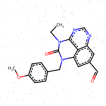 CCN1C(=O)N(Cc2ccc(OC)cc2)c2cc(C=O)cc3ncnc1c23